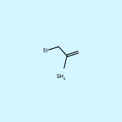 C=C(C)CCC.[SiH4]